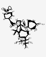 CC1(C)c2cc(C(F)(C(F)(F)F)C(F)(F)F)ccc2C2(S(=O)(=O)c3ccc(F)cc3)CCN(C(=O)C3CCS(=O)(=O)CC3)C12